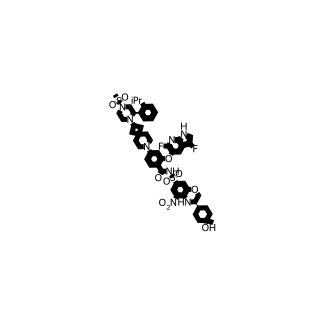 CC(C)c1ccccc1[C@@H]1CN(S(C)(=O)=O)CCN1C1CC2(CCN(c3ccc(C(=O)NS(=O)(=O)c4cc5c(c([N+](=O)[O-])c4)N[C@@H](C4CCC(C)(O)CC4)CO5)c(Oc4cc5c(F)c[nH]c5nc4F)c3)CC2)C1